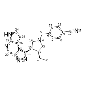 CC[C@@H]1CN(Cc2ccc(C#N)cc2)C[C@@H]1c1nnc2cnc3[nH]ccc3n12